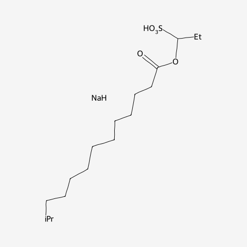 CCC(OC(=O)CCCCCCCCCCC(C)C)S(=O)(=O)O.[NaH]